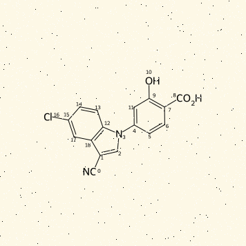 N#Cc1cn(-c2ccc(C(=O)O)c(O)c2)c2ccc(Cl)cc12